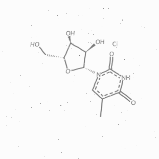 Cc1cn([C@@H]2O[C@H](CO)[C@@H](O)[C@H]2O)c(=O)[nH]c1=O.[C]